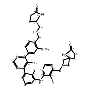 COc1cc(-c2nccc(-c3cccc(Nc4nccc(CN5CC6(CCC(=O)N6)C5)c4F)c3Cl)c2Cl)ccc1CNC[C@H]1CCC(=O)N1